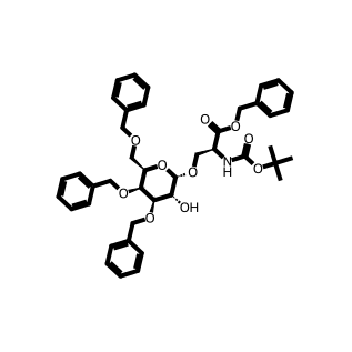 CC(C)(C)OC(=O)N[C@@H](CO[C@H]1O[C@H](COCc2ccccc2)[C@H](OCc2ccccc2)[C@H](OCc2ccccc2)[C@H]1O)C(=O)OCc1ccccc1